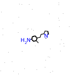 Cc1cc(N)ccc1CCC1CC=CN1C